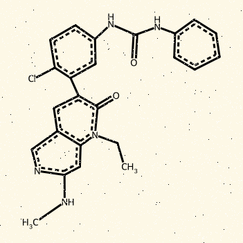 CCn1c(=O)c(-c2cc(NC(=O)Nc3ccccc3)ccc2Cl)cc2cnc(NC)cc21